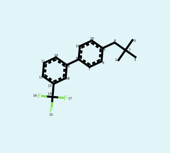 CC(C)(C)Cc1ccc(-c2cccc(C(F)(F)F)c2)cc1